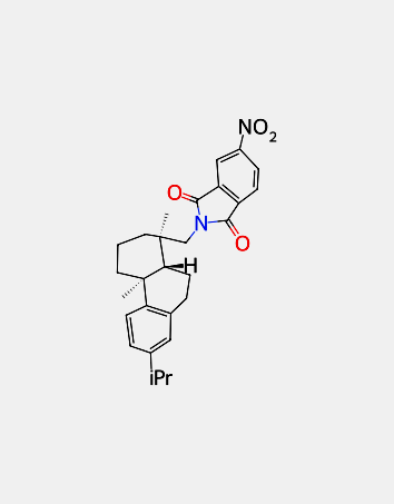 CC(C)c1ccc2c(c1)CC[C@H]1[C@](C)(CN3C(=O)c4ccc([N+](=O)[O-])cc4C3=O)CCC[C@]21C